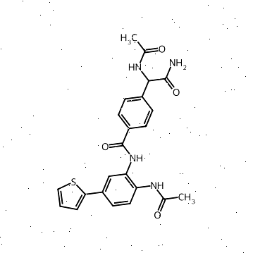 CC(=O)Nc1ccc(-c2cccs2)cc1NC(=O)c1ccc(C(NC(C)=O)C(N)=O)cc1